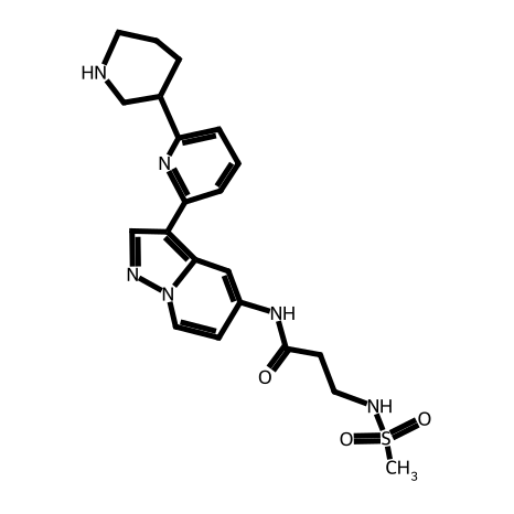 CS(=O)(=O)NCCC(=O)Nc1ccn2ncc(-c3cccc(C4CCCNC4)n3)c2c1